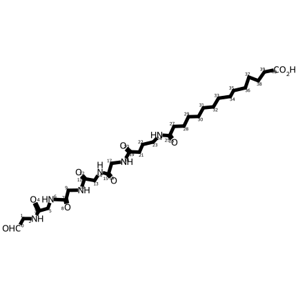 O=CCNC(=O)CNC(=O)CNC(=O)CNC(=O)CNC(=O)CCCNC(=O)CCCCCCCCCCCCCC(=O)O